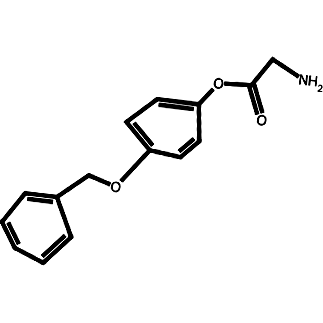 NCC(=O)Oc1ccc(OCc2ccccc2)cc1